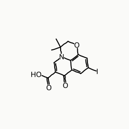 CC1(C)COc2cc(I)cc3c(=O)c(C(=O)O)cn1c23